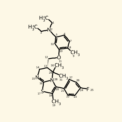 CCN(CC)c1ccc(C)c(OC[C@H]2CN=C3SC(C)=C(c4ccc(F)cc4)N3C2(C)C)c1